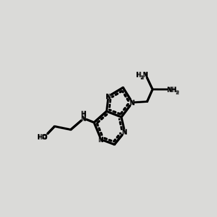 NC(N)Cn1cnc2c(NCCO)ncnc21